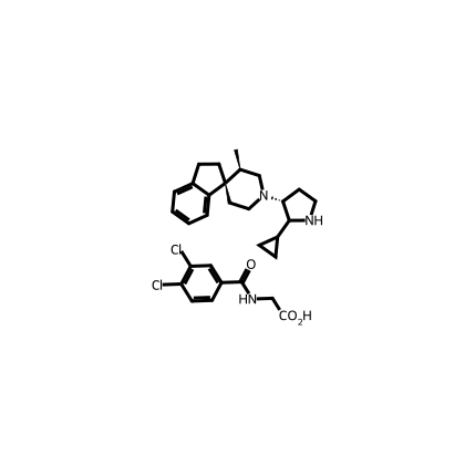 C[C@H]1CN([C@@H]2CCNC2C2CC2)CC[C@@]12CCc1ccccc12.O=C(O)CNC(=O)c1ccc(Cl)c(Cl)c1